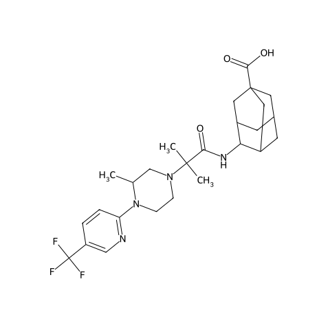 CC1CN(C(C)(C)C(=O)NC2C3CC4CC2CC(C(=O)O)(C4)C3)CCN1c1ccc(C(F)(F)F)cn1